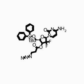 CC(C)(C)[Si](OC[C@H]1O[C@@H](n2ccc(N)nc2=O)C(F)(F)C1OC(=O)CCN=[N+]=[N-])(c1ccccc1)c1ccccc1